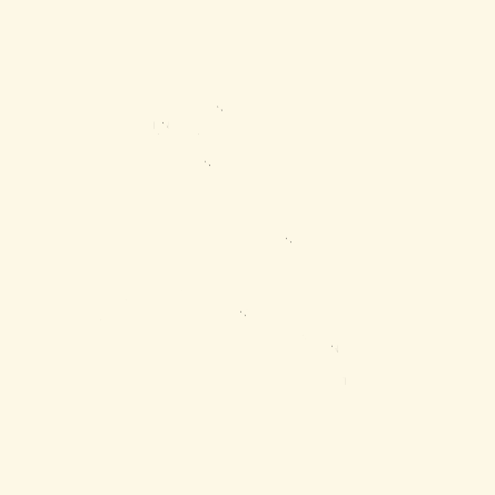 CN(CCO)C(=O)CC(CN1CCCCCC1C1CCCN(C(=N)N)C1)NS(=O)(=O)c1ccc2ccccc2c1